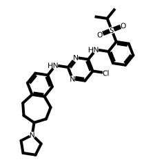 CC(C)S(=O)(=O)c1ccccc1Nc1nc(Nc2ccc3c(c2)CCC(N2CCCC2)CC3)ncc1Cl